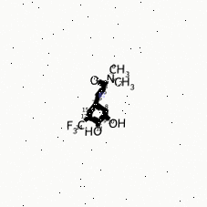 CN(C)C(=O)/C=C/c1cc(O)c(O)c(C(F)(F)F)c1